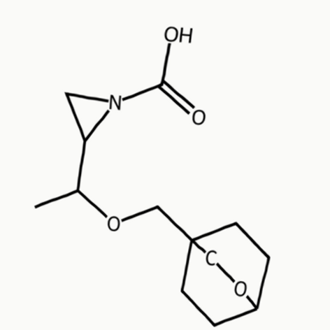 CC(OCC12CCC(CC1)OC2)C1CN1C(=O)O